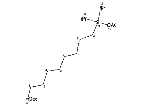 CCCCCCCCCCCCCCCCCC[Si](OC(C)=O)(C(C)C)C(C)C